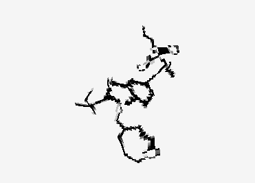 CCCS(=O)(=O)N(C)c1ccc2c(c1)nc(C(C)(C)C)n2CC1CCOCC1